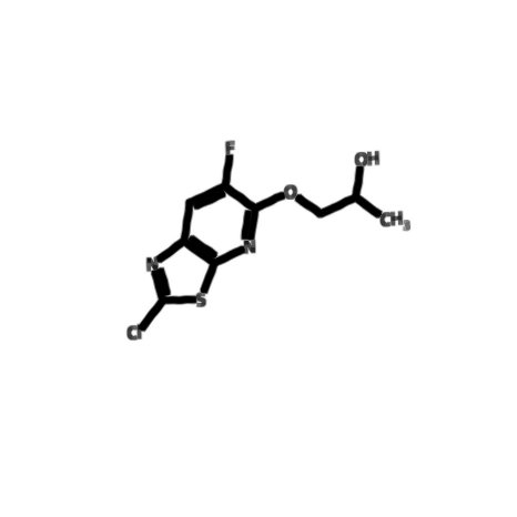 CC(O)COc1nc2sc(Cl)nc2cc1F